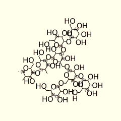 CC1[C@H](O[C@@H]2C(CO)O[C@@H](C)C(C)[C@H]2O)OC(CO)[C@@H](O[C@@H]2OC(CO[C@@H]3OC(CO[C@H]4OC(CO)[C@@H](O)[C@H](O)C4O)[C@@H](O)[C@H](O[C@H]4OC(CO)[C@@H](O)C(O)C4O)C3O)[C@@H](O)[C@H](O[C@H]3OC(CO)[C@@H](O)C(O)C3O[C@H]3OC(CO)[C@@H](O)C(O)C3O)C2O)[C@@H]1O